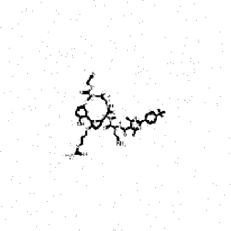 Cc1nc(-c2ccc(C(C)(C)C)cc2)nc(C)c1C(=O)N[C@@H](CCN)C(=O)N(C)[C@@H]1C(=O)N[C@@H](C)C(=O)N[C@H](C(=O)NCC#N)Cc2ccc(O)c(c2)-c2cc1ccc2OCCCNC(=N)N